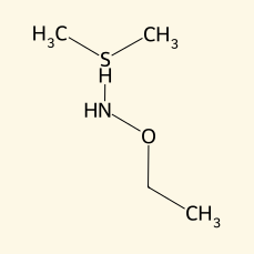 CCON[SH](C)C